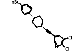 CCCCc1ccc([C@H]2CC[C@H](C#Cc3cnc(Cl)c(Cl)c3)CC2)cc1